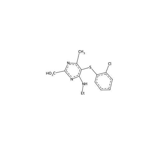 CCNc1nc(C(=O)O)nc(C)c1Sc1ccccc1Cl